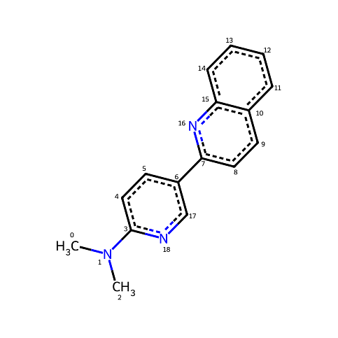 CN(C)c1ccc(-c2ccc3ccccc3n2)cn1